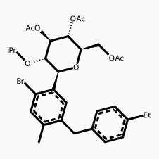 CCc1ccc(Cc2cc([C@@H]3O[C@H](COC(C)=O)[C@@H](OC(C)=O)[C@H](OC(C)=O)[C@H]3OC(C)C)c(Br)cc2C)cc1